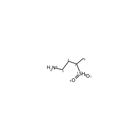 CC(CCN)[SH](=O)=O